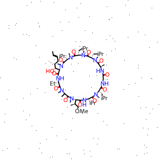 C/C=C/C[C@@H](C)[C@@H](O)[C@H]1C(=O)N[C@@H](CC)C(=O)N(C)C(C)C(=O)N(C)[C@@H]([C@H](C)COC)C(=O)N[C@@H](C(C)C)C(=O)N(C)[C@@H](CC(C)C)C(=O)N[C@@H](C)C(=O)N[C@H](C)C(=O)N(C)[C@@H](CC(C)C)C(=O)N(C)[C@@H](CC(C)C)C(=O)N(C)[C@@H](C(C)C)C(=O)N1C